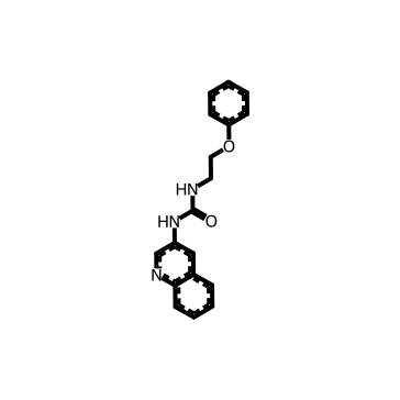 O=C(NCCOc1ccccc1)Nc1cnc2ccccc2c1